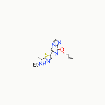 C=CCCOc1nc(-c2cnc(C(C)NCC)s2)cn2ccnc12